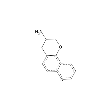 NC1COc2c(ccc3ncccc23)C1